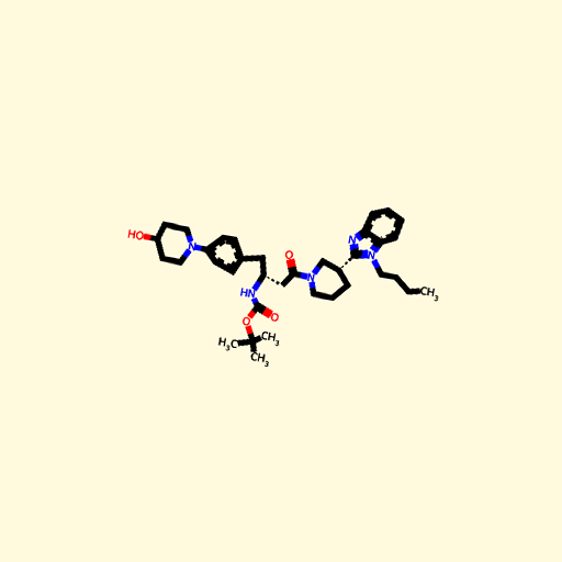 CCCCn1c([C@@H]2CCCN(C(=O)C[C@@H](Cc3ccc(N4CCC(O)CC4)cc3)NC(=O)OC(C)(C)C)C2)nc2ccccc21